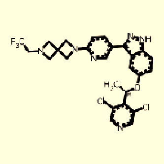 C[C@@H](Oc1ccc2[nH]nc(-c3ccc(N4CC5(CN(CC(F)(F)F)C5)C4)nc3)c2c1)c1c(Cl)cncc1Cl